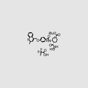 Cc1cc(COc2ccc(C(=O)N[C@@H]3CN(C(=O)OCC(C)C)CC[C@@H]3C(=O)NO)cc2)c2ccccc2n1.O=C(O)C(F)(F)F